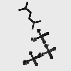 CP(C)CCP(C)C.O=S(=O)([O-])C(F)(F)F.O=S(=O)([O-])C(F)(F)F.O=S(=O)([O-])C(F)(F)F.[Tc+3]